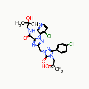 CC(C)(O)CNC(=O)c1nc(Cn2nc(-c3ccc(Cl)cc3)n(C[C@H](O)C(F)(F)F)c2=O)nn1-c1cnccc1Cl